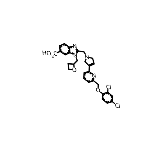 O=C(O)c1ccc2nc(CN3CC=C(c4cccc(COc5ccc(Cl)cc5Cl)n4)C3)n(CC3CCO3)c2c1